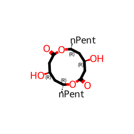 CCCCC[C@@H]1C[C@@H](O)CC(=O)O[C@H](CCCCC)C[C@@H](O)CC(=O)O1